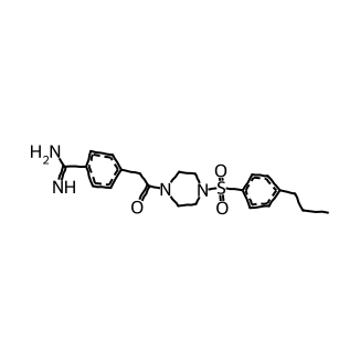 CCCc1ccc(S(=O)(=O)N2CCN(C(=O)Cc3ccc(C(=N)N)cc3)CC2)cc1